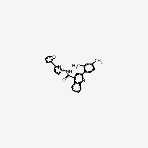 Cc1ccc(-c2cc(C(=O)Nn3ccc(-c4ccco4)n3)c3ccccc3n2)c(C)c1